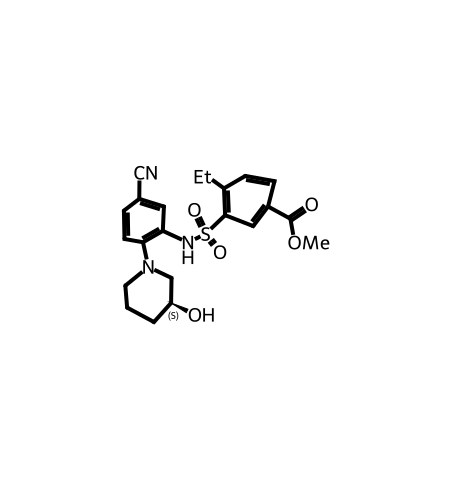 CCc1ccc(C(=O)OC)cc1S(=O)(=O)Nc1cc(C#N)ccc1N1CCC[C@H](O)C1